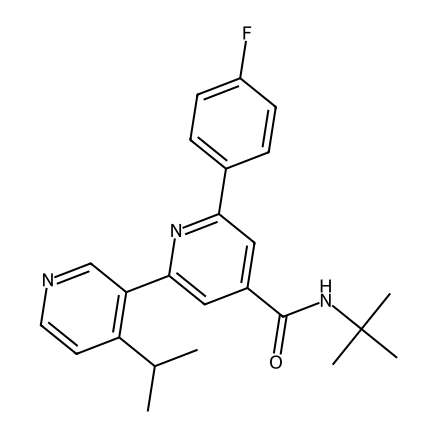 CC(C)c1ccncc1-c1cc(C(=O)NC(C)(C)C)cc(-c2ccc(F)cc2)n1